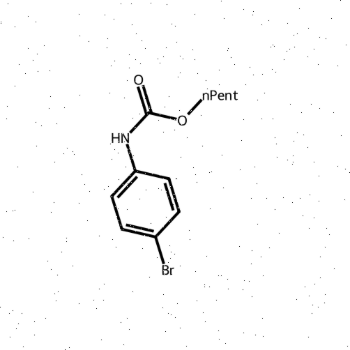 CCCCCOC(=O)Nc1ccc(Br)cc1